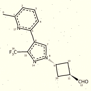 Cc1cccc(-c2cn([C@H]3C[C@H](C=O)C3)nc2C(F)(F)F)n1